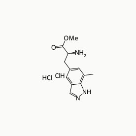 COC(=O)[C@@H](N)Cc1cc(C)c2[nH]ncc2c1.Cl.Cl